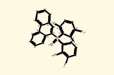 O=P(c1c(F)ccc(F)c1F)(c1c(F)ccc(F)c1F)c1cc2ccccc2c2ccccc12